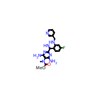 COC(=O)N(C)c1c(N)nc(C(=N)c2ccc(F)cc2NCc2cccnc2)nc1N